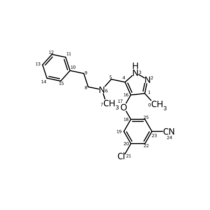 Cc1n[nH]c(CN(C)CCc2ccccc2)c1Oc1cc(Cl)cc(C#N)c1